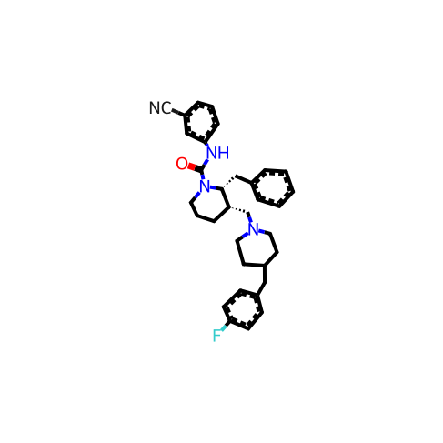 N#Cc1cccc(NC(=O)N2CCC[C@@H](CN3CCC(Cc4ccc(F)cc4)CC3)[C@H]2Cc2ccccc2)c1